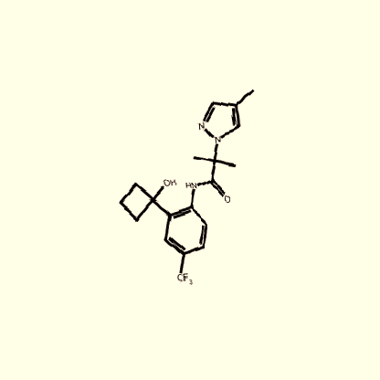 Cc1cnn(C(C)(C)C(=O)Nc2ccc(C(F)(F)F)cc2C2(O)CCC2)c1